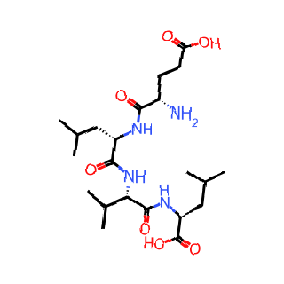 CC(C)C[C@H](NC(=O)[C@@H](NC(=O)[C@H](CC(C)C)NC(=O)[C@@H](N)CCC(=O)O)C(C)C)C(=O)O